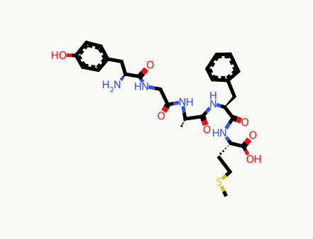 CSCC[C@H](NC(=O)[C@H](Cc1ccccc1)NC(=O)[C@H](C)NC(=O)CNC(=O)[C@@H](N)Cc1ccc(O)cc1)C(=O)O